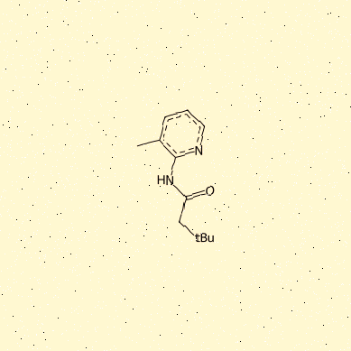 Cc1cccnc1NC(=O)CC(C)(C)C